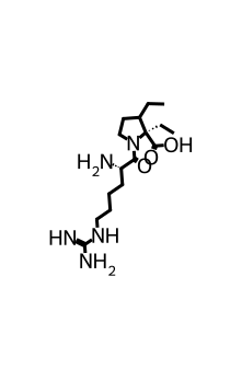 CCC1CCN(C(=O)[C@@H](N)CCCCNC(=N)N)[C@]1(CC)C(=O)O